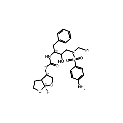 CC(C)CN(CC(O)[C@H](Cc1ccccc1)NC(=O)O[C@H]1CO[C@H]2OCCC21)S(=O)(=O)c1ccc(N)cc1